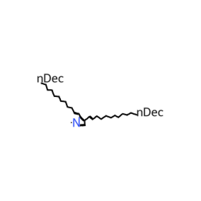 CCCCCCCCCCCCCCCCCCCCC=CC1=C(C=CCCCCCCCCCCCCCCCCCCCC)[N]C=C1